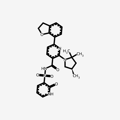 C[C@H]1CN(c2nc(-c3cccc4c3OCC4)ccc2C(=O)NS(=O)(=O)c2ccc[nH]c2=O)C(C)(C)C1